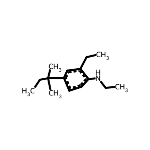 CCNc1ccc(C(C)(C)CC)cc1CC